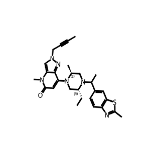 CC#CCn1cc2c(n1)c(N1C[C@@H](CC)N(C(C)c3ccc4nc(C)sc4c3)C[C@@H]1C)cc(=O)n2C